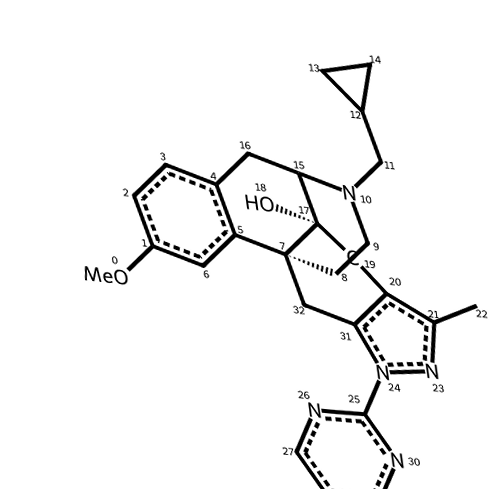 COc1ccc2c(c1)[C@@]13CCN(CC4CC4)C(C2)[C@@]1(O)Cc1c(C)nn(-c2ncccn2)c1C3